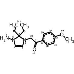 CCC1(CC)N(N)C=CN1CC(=O)c1ccc(OC)cc1